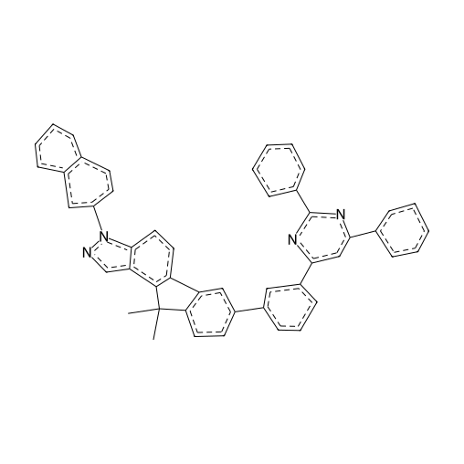 CC1(C)c2ccc(-c3cccc(-c4cc(-c5ccccc5)nc(-c5ccccc5)n4)c3)cc2-c2ccc3c(cnn3-c3ccc4ccccc4c3)c21